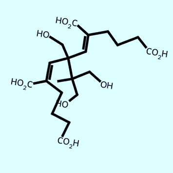 CC(CO)(CO)C(C=C(CCCC(=O)O)C(=O)O)(C=C(CCCC(=O)O)C(=O)O)CO